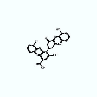 O=C1C[C@H](c2c(O)cc(C(=O)O)c3nc4cccc(O)c4nc23)Cc2nc3cccc(O)c3nc21